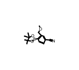 COCc1cc(C#N)ccc1B1OC(C)(C)C(C)(C)O1